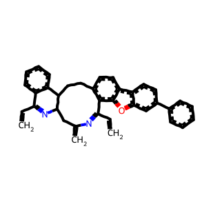 C=CC1=NC2CC(=C)/N=C(/C=C)c3c(ccc4c3oc3cc(-c5ccccc5)ccc34)CCC2c2ccccc21